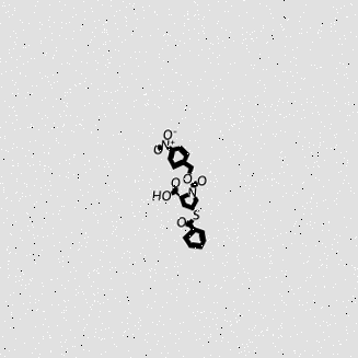 O=C(S[C@H]1C[C@@H](C(=O)O)N(C(=O)OCc2ccc([N+](=O)[O-])cc2)C1)c1ccccc1